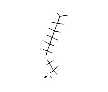 O=S(=O)(F)C(F)(F)C(F)(F)OC(F)(F)C(F)(F)C(F)(F)C(F)(F)C(F)(F)C(F)F